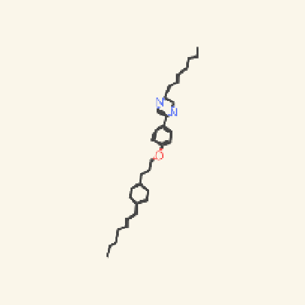 CCCCCCCc1cnc(-c2ccc(OCCCC3CCC(CCCCCCC)CC3)cc2)cn1